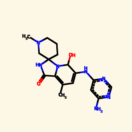 CC1=C2C(=O)NC3(CCCN(C)C3)N2C(O)C(Nc2cc(N)ncn2)=C1